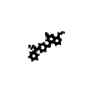 FCc1cccc2c(OC3CCN(C(c4ccccc4)C(F)(F)F)CC3)cc(F)nc12